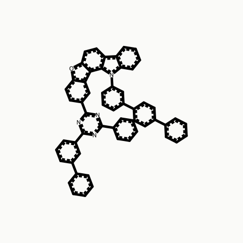 c1ccc(-c2ccc(-c3cccc(-n4c5ccccc5c5ccc6oc7ccc(-c8nc(-c9ccccc9)nc(-c9cccc(-c%10ccccc%10)c9)n8)cc7c6c54)c3)cc2)cc1